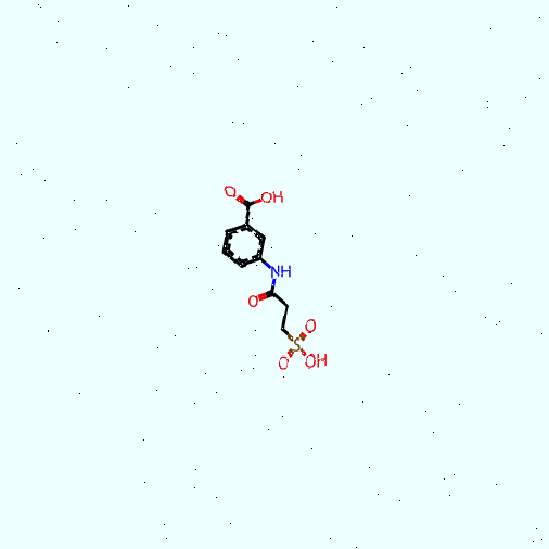 O=C(CCS(=O)(=O)O)Nc1cccc(C(=O)O)c1